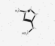 C[n+]1cc([N-]C(=O)O)on1